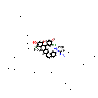 CCCCNN(c1ccc(/C=C\c2ccc(-c3c4cc(Cl)c(=O)cc-4oc4cc(O)c(Cl)cc34)c(S(=O)(=O)O)c2)cc1)C(N)CCC